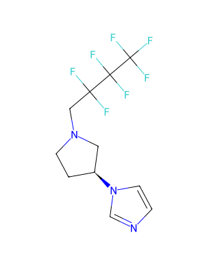 FC(F)(F)C(F)(F)C(F)(F)CN1CC[C@H](n2ccnc2)C1